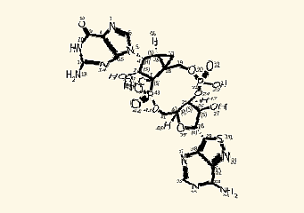 C[C@@]12[C@@H](O)[C@H](n3cnc4c(=O)[nH]c(N)nc43)[C@H]3CC31COP(=O)(O)O[C@H]1[C@@H](O)[C@H](c3snc4c(N)ncnc34)O[C@@H]1COP2(=O)O